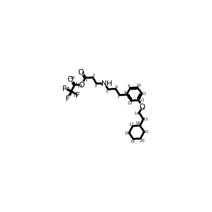 O=C(CCNCCCc1cccc(OCCC2CCCCC2)c1)OC(=O)C(F)(F)F